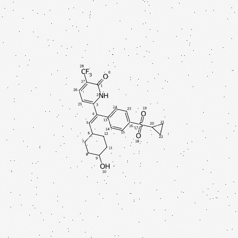 O=c1[nH]c(C(=CC2CCC(O)CC2)c2ccc(S(=O)(=O)C3CC3)cc2)ccc1C(F)(F)F